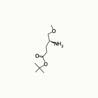 COC[C@@H](N)CCC(=O)OC(C)(C)C